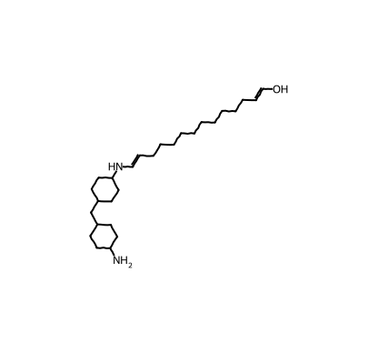 NC1CCC(CC2CCC(NC=CCCCCCCCCCCC=CO)CC2)CC1